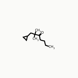 CCCCC(=O)C(C)(C)CC1CC1